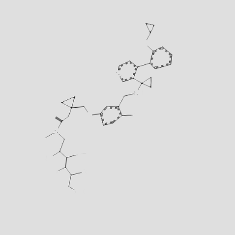 CN(CC(O)C(O)C(O)C(O)CO)C(=O)CC1(CSc2ccc(Cl)c(CNC3(c4cnccc4-c4ccccc4OC4CC4)CC3)c2)CC1